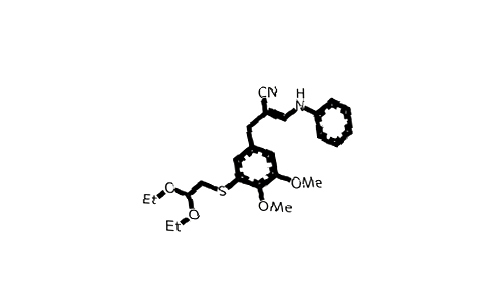 CCOC(CSc1cc(CC(C#N)=CNc2ccccc2)cc(OC)c1OC)OCC